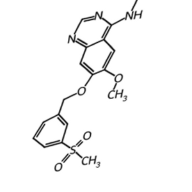 COc1cc2c(NC3CC3)ncnc2cc1OCc1cccc(S(C)(=O)=O)c1